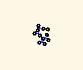 c1ccc(-c2ccc(-n3c4ccccc4c4cc5c6ccccc6n(-c6ccc(-c7cc(N(c8ccccc8)c8ccccc8)cc(N(c8ccccc8)c8ccccc8)c7)cc6)c5cc43)cc2)cc1